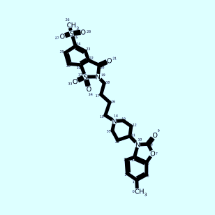 Cc1ccc2c(c1)oc(=O)n2C1CCN(CCCCN2C(=O)c3cc(S(C)(=O)=O)ccc3S2(=O)=O)CC1